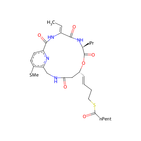 C/C=C1\NC(=O)c2ccc(SC)c(n2)CNC(=O)C[C@@H](/C=C/CCSC(=O)CCCCC)OC(=O)[C@H](C(C)C)NC1=O